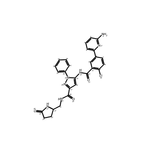 Nc1cccc(-c2ccc(Cl)c(C(=O)Nc3cc(C(=O)NCC4CCC(=O)N4)nn3-c3ccccc3)c2)n1